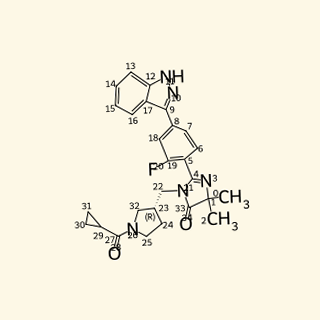 CC1(C)N=C(c2ccc(-c3n[nH]c4ccccc34)cc2F)N(C[C@@H]2CCN(C(=O)C3CC3)C2)C1=O